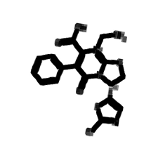 CC[n+]1c(C(=O)O)c(-c2ccccc2)c(=O)n2c1SC[C@@H]2c1cnc(Cl)s1